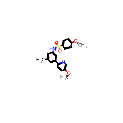 COc1ccc(S(=O)(=O)Nc2cc(C)cc(-c3ccc(OC)cn3)c2)cc1